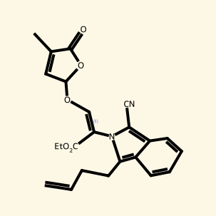 C=CCCc1c2ccccc2c(C#N)n1/C(=C/OC1C=C(C)C(=O)O1)C(=O)OCC